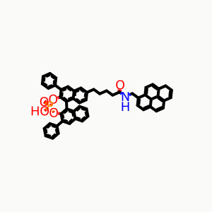 O=C(CCCCc1ccc2c3c(c(-c4ccccc4)cc2c1)OP(=O)(O)Oc1c(-c2ccccc2)cc2ccccc2c1-3)NCC1=CC=C2C=CC3=C4C(=CC=C1C24)CC=C3